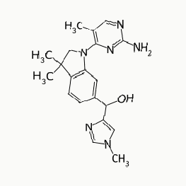 Cc1cnc(N)nc1N1CC(C)(C)c2ccc(C(O)c3cn(C)cn3)cc21